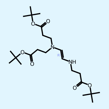 CC(C)(C)OC(=O)CCN/C=C/N(CCC(=O)OC(C)(C)C)CCC(=O)OC(C)(C)C